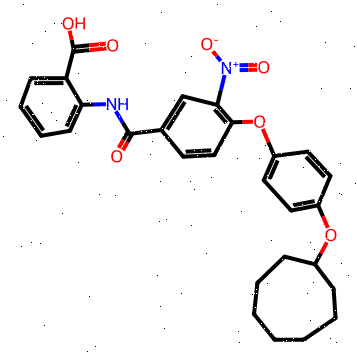 O=C(Nc1ccccc1C(=O)O)c1ccc(Oc2ccc(OC3CCCCCCC3)cc2)c([N+](=O)[O-])c1